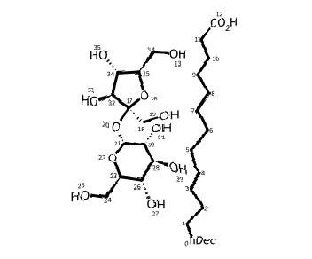 CCCCCCCCCCCCCCCCCCCCCC(=O)O.OC[C@H]1O[C@@](CO)(O[C@H]2O[C@H](CO)[C@@H](O)[C@H](O)[C@H]2O)[C@@H](O)[C@@H]1O